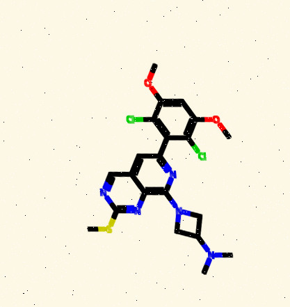 COc1cc(OC)c(Cl)c(-c2cc3cnc(SC)nc3c(N3CC(N(C)C)C3)n2)c1Cl